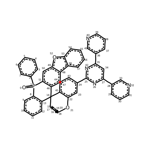 O=P1(c2ccccc2)c2ccccc2C2(c3ccccc3Oc3cc(-c4nc(-c5cccnc5)cc(-c5cccnc5)n4)ccc32)c2cc3c(cc21)oc1ccccc13